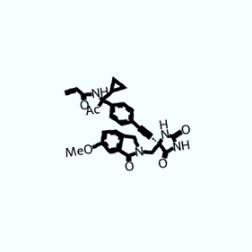 C=CC(=O)NC(C(C)=O)(c1ccc(C#C[C@]2(CN3Cc4ccc(OC)cc4C3=O)NC(=O)NC2=O)cc1)C1CC1